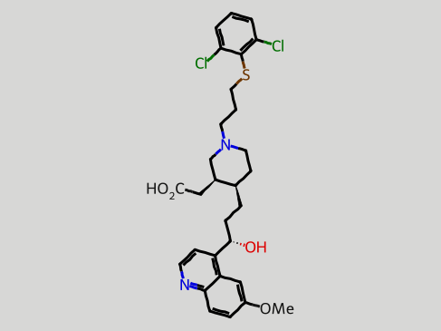 COc1ccc2nccc([C@@H](O)CC[C@@H]3CCN(CCCSc4c(Cl)cccc4Cl)C[C@@H]3CC(=O)O)c2c1